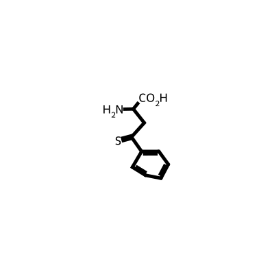 NC(CC(=S)c1ccccc1)C(=O)O